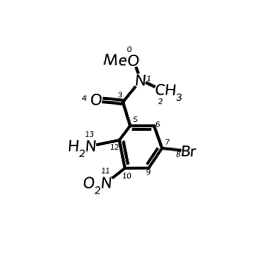 CON(C)C(=O)c1cc(Br)cc([N+](=O)[O-])c1N